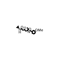 COc1cccc(-c2nc(CC(=O)CC(=O)NC3CC3)c(C)o2)c1